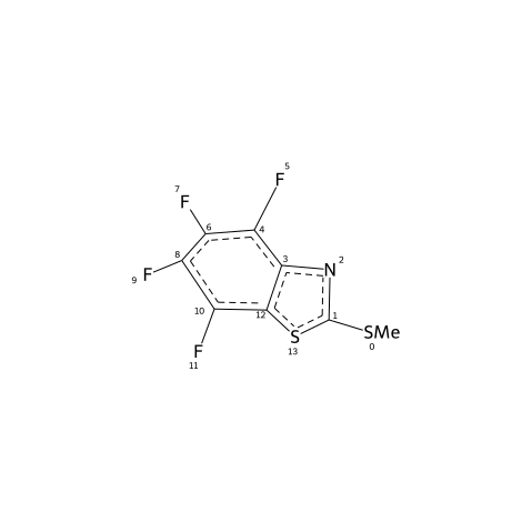 CSc1nc2c(F)c(F)c(F)c(F)c2s1